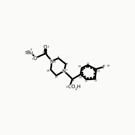 CC(C)(C)OC(=O)N1CCN(C(C(=O)O)c2ccc(F)cc2)CC1